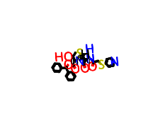 O=C(CSc1ccncc1)N[C@@H]1C(=O)N2[C@@H]1SCC(O)[C@@H]2C(=O)OC(c1ccccc1)c1ccccc1